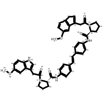 COc1ccc2c(c1)C(CC(=O)N1CCC[C@H]1C(=O)Nc1ccc(/C=C/c3ccc(NC(=O)[C@@H]4CCCN4C(=O)Cc4c[nH]c5ccc(OC)cc45)cc3)cc1)=CC2